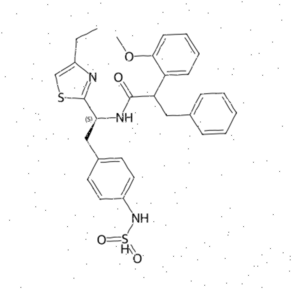 CCc1csc([C@H](Cc2ccc(N[SH](=O)=O)cc2)NC(=O)C(Cc2ccccc2)c2ccccc2OC)n1